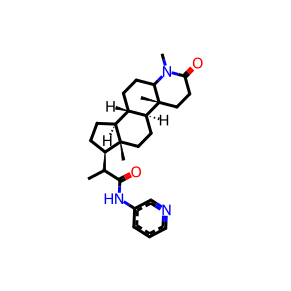 CC(C(=O)Nc1cccnc1)[C@H]1CC[C@H]2[C@@H]3CCC4N(C)C(=O)CC[C@]4(C)[C@H]3CC[C@]12C